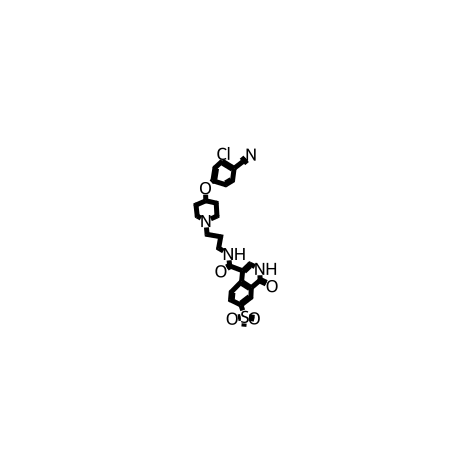 CS(=O)(=O)c1ccc2c(C(=O)NCCCN3CCC(Oc4ccc(C#N)c(Cl)c4)CC3)c[nH]c(=O)c2c1